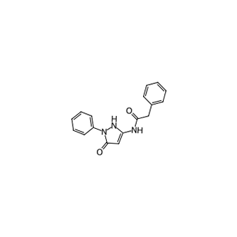 O=C(Cc1ccccc1)Nc1cc(=O)n(-c2ccccc2)[nH]1